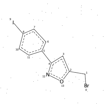 BrCc1cc(-c2ccc(I)cc2)no1